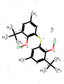 Cc1cc(Sc2cc(C)cc(C(C)(C)C)c2OCl)c(OCl)c(C(C)(C)C)c1.[Ti]